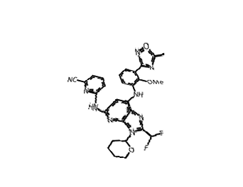 COc1c(Nc2cc(Nc3cccc(C#N)n3)nc3c2nc(C(F)F)n3C2CCCCO2)cccc1-c1noc(C)n1